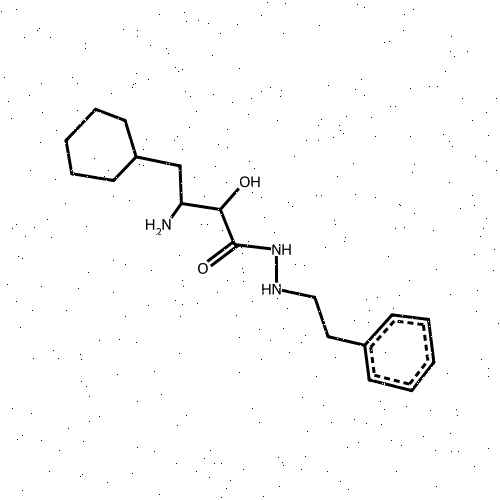 NC(CC1CCCCC1)C(O)C(=O)NNCCc1ccccc1